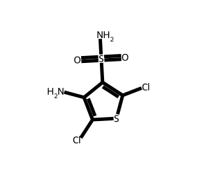 Nc1c(Cl)sc(Cl)c1S(N)(=O)=O